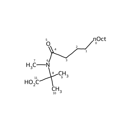 CCCCCCCCCCCC(=O)N(C)C(C)(C)C(=O)O